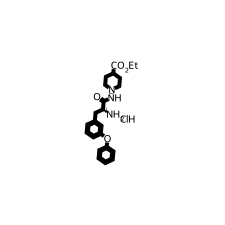 CCOC(=O)C1CCN(NC(=O)[C@@H](N)Cc2cccc(Oc3ccccc3)c2)CC1.Cl